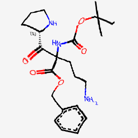 CC(C)(C)OC(=O)NC(CCCN)(C(=O)OCc1ccccc1)C(=O)[C@@H]1CCCN1